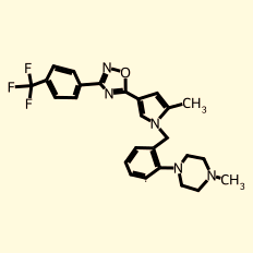 Cc1cc(-c2nc(-c3ccc(C(F)(F)F)cc3)no2)cn1Cc1ccc[c]c1N1CCN(C)CC1